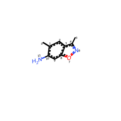 Cc1cc2c(C)noc2cc1N